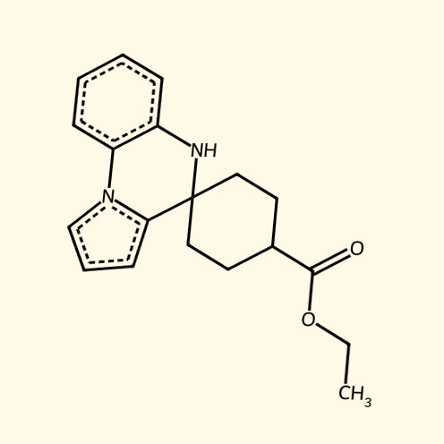 CCOC(=O)C1CCC2(CC1)Nc1ccccc1-n1cccc12